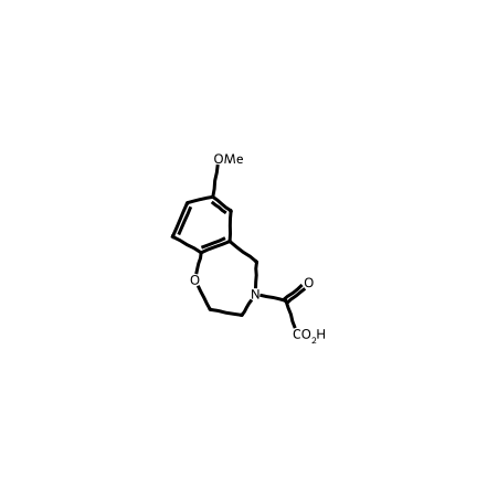 COc1ccc2c(c1)CN(C(=O)C(=O)O)CCO2